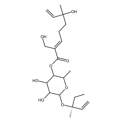 C=CC(C)(O)CC/C=C(\CO)C(=O)OC1C(C)OC(O[C@](C)(C=C)CC)C(O)C1O